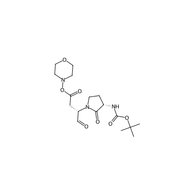 CC(C)(C)OC(=O)N[C@H]1CCN([C@H](C=O)CC(=O)ON2CCOCC2)C1=O